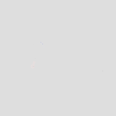 CCC=CCC=CCCC1=Nc2ccccc2C(=O)C1